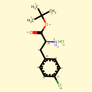 CC(C)(C)OC(=O)[C@@H](N)Cc1ccc(Cl)cc1.Cl